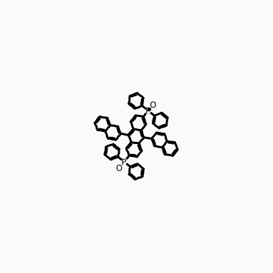 O=P(c1ccccc1)(c1ccccc1)c1ccc2c(-c3ccc4ccccc4c3)c3cc(P(=O)(c4ccccc4)c4ccccc4)ccc3c(-c3ccc4ccccc4c3)c2c1